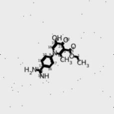 CCOC(=O)c1c(C)n(-c2ccc(C(=N)N)cc2)cc(O)c1=O